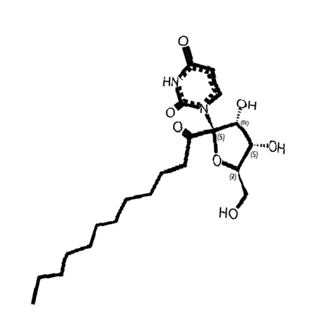 CCCCCCCCCCCC(=O)[C@@]1(n2ccc(=O)[nH]c2=O)O[C@H](CO)[C@@H](O)[C@H]1O